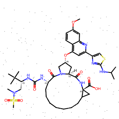 COc1ccc2c(O[C@@H]3C[C@H]4C(=O)N[C@]5(C(=O)O)CC5CCCCCCC[C@H](NC(=O)N[C@H](CN(C)S(C)(=O)=O)C(C)(C)C)C(=O)N4C3)cc(-c3csc(NC(C)C)n3)nc2c1